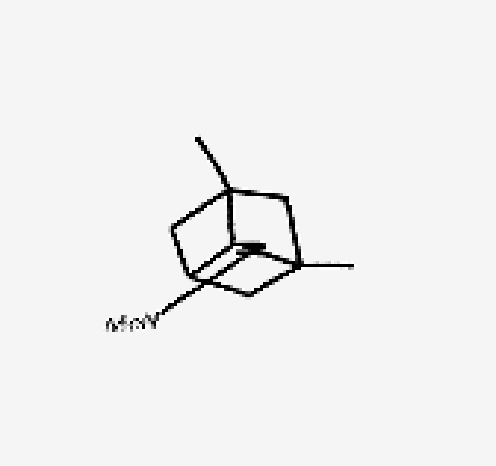 CNC1=C2C3CC(C)(C1)CC2(C)C3